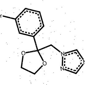 Brc1cccc(C2(Cn3cncn3)OCCO2)c1